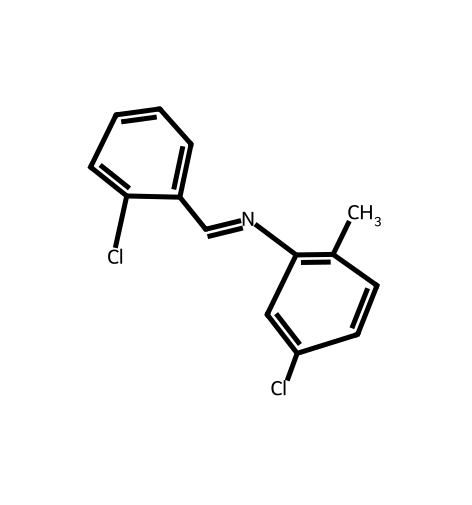 Cc1ccc(Cl)cc1N=Cc1ccccc1Cl